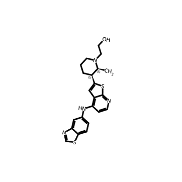 C[C@H]1[C@@H](c2cc3c(Nc4ccc5scnc5c4)ccnc3s2)CCCN1CCO